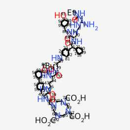 CCNC(=O)/N=C(/N)NCCC[C@@H](NC(=O)C(c1ccccc1)c1ccc(NCCCNC(=O)[C@@H](CCCNC(=O)[C@@H](Cc2ccc(-c3ccccc3)cc2)NC(=O)CN2CCN(CC(=O)O)CCN(CC(=O)O)CCN(CC(=O)O)CC2)NC(=O)OC(C)(C)C)cc1)C(=O)NCc1ccc(O)cc1